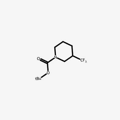 CC(C)(C)OC(=O)N1CCCC(C(F)(F)F)C1